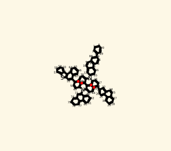 c1ccc(-c2ccc3c(ccc4cc(N(c5ccc(-c6ccc7c(ccc8ccccc87)c6)cc5)c5ccccc5-c5ccccc5N(c5ccc(-c6cc7sc8ccccc8c7c7ccccc67)cc5)c5cc6ccccc6c6ccccc56)ccc43)c2)cc1